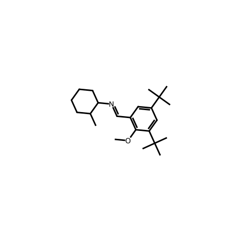 COc1c(/C=N/C2CCCCC2C)cc(C(C)(C)C)cc1C(C)(C)C